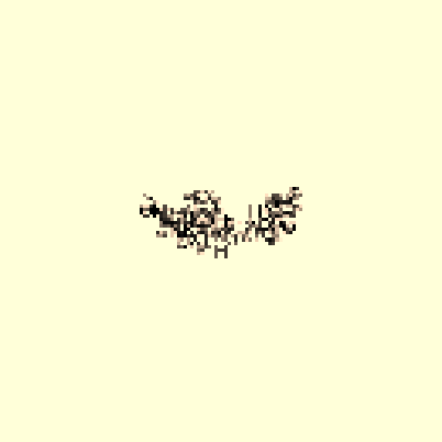 C=CC(=O)N1CCN(c2nc(=O)n(-c3c(C)ccc(CNC(=O)CC4CC(Nc5cccc6c5C(=O)N(C5CCC(=O)NC5=O)C6=O)C4)c3C)c3nc(-c4c(O)cccc4F)c(F)cc23)[C@@H](C)C1